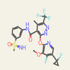 COc1c(Oc2nnc(C(F)(F)F)c(C)c2C(=O)Nc2cccc(S(C)(=N)=O)c2)ncc(C2(F)CC2)c1F